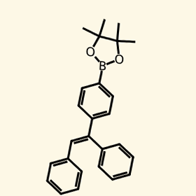 CC1(C)OB(c2ccc(/C(=C/c3ccccc3)c3ccccc3)cc2)OC1(C)C